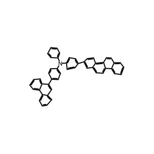 c1ccc(N(c2ccc(-c3ccc4c(ccc5c6ccccc6ccc45)c3)cc2)c2ccc(-c3cc4ccccc4c4ccccc34)cc2)cc1